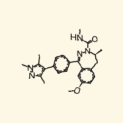 CNC(=O)N1N=C(c2ccc(-c3c(C)nn(C)c3C)cc2)c2cc(OC)ccc2C[C@@H]1C